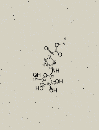 CCOC(=O)C(=O)c1cnc(N[C@@H]2O[C@H](CO)[C@@H](O)[C@H](O)[C@@H]2O)s1